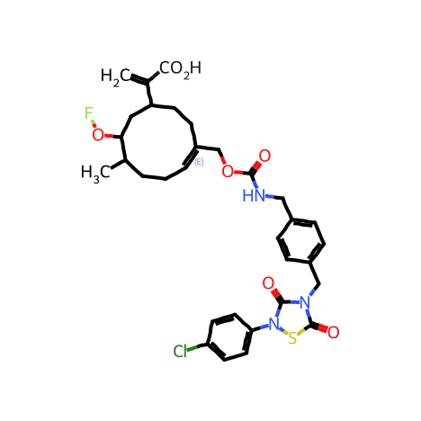 C=C(C(=O)O)C1CC/C(COC(=O)NCc2ccc(Cn3c(=O)sn(-c4ccc(Cl)cc4)c3=O)cc2)=C\CCC(C)C(OF)C1